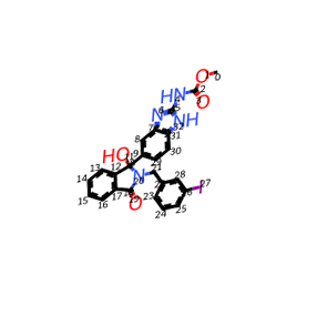 COC(=O)Nc1nc2cc(C3(O)c4ccccc4C(=O)N3Cc3cccc(I)c3)ccc2[nH]1